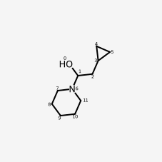 OC(CC1CC1)N1CCCCC1